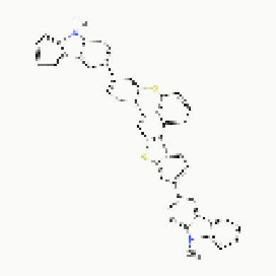 Cn1c2ccccc2c2cc(-c3ccc4c(c3)Sc3cccc5c3c-4cc3sc4cc(-c6ccc7c(c6)c6ccccc6n7C)ccc4c35)ccc21